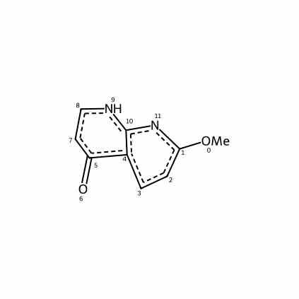 COc1ccc2c(=O)cc[nH]c2n1